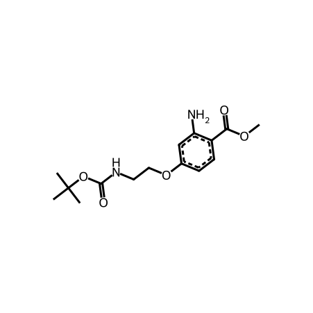 COC(=O)c1ccc(OCCNC(=O)OC(C)(C)C)cc1N